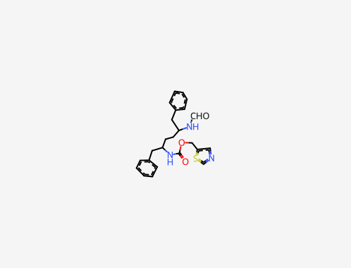 O=CNC(CCC(Cc1ccccc1)NC(=O)OCc1cncs1)Cc1ccccc1